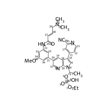 CCOP(=O)(O)OC(C)n1cc(-c2ccnc(C#N)c2)c2cc(-c3cc(NC(=O)C=CCN(C)C)cc(OC)c3)cnc21